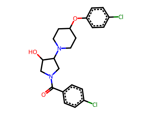 O=C(c1ccc(Cl)cc1)N1CC(O)C(N2CCC(Oc3ccc(Cl)cc3)CC2)C1